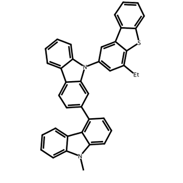 CCc1cc(-n2c3ccccc3c3ccc(-c4cccc5c4c4ccccc4n5C)cc32)cc2c1sc1ccccc12